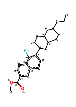 CCCC1CCC2CC(c3ccc4cc(C(=O)OC)ccc4c3F)CCC2C1